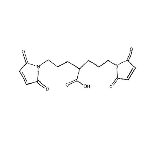 O=C(O)C(CCCN1C(=O)C=CC1=O)CCCN1C(=O)C=CC1=O